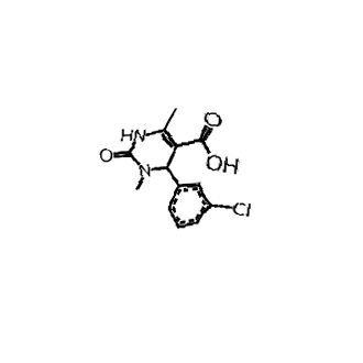 CC1=C(C(=O)O)C(c2cccc(Cl)c2)N(C)C(=O)N1